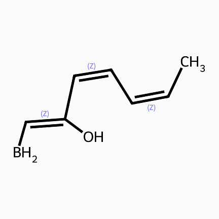 B/C=C(O)/C=C\C=C/C